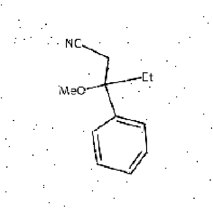 CCC(CC#N)(OC)c1ccccc1